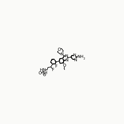 CCOc1cc(-c2cccc(C(F)CCN[SH](=O)=O)c2F)cc2c(N3CCOCC3)nc(-c3cnc(N)nc3)nc12